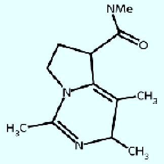 CNC(=O)C1CCN2C(C)=NC(C)C(C)=C12